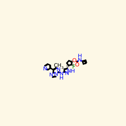 Cc1nc(Nc2cc([C@@H]3CC[C@H](OC(=O)NC45CC(C4)C5)[C@@H]3F)[nH]n2)n2ccnc2c1-c1cccnc1